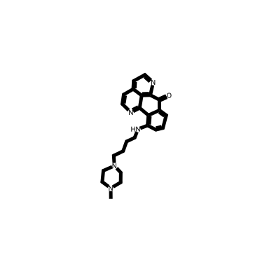 CN1CCN(CCCCNc2cccc3c2-c2nccc4ccnc(c24)C3=O)CC1